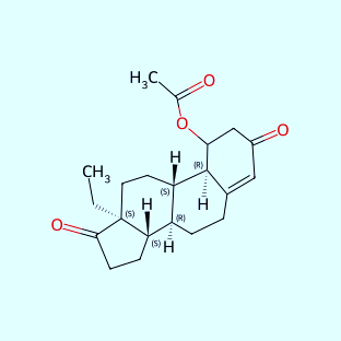 CC[C@]12CC[C@H]3[C@@H](CCC4=CC(=O)CC(OC(C)=O)[C@@H]43)[C@@H]1CCC2=O